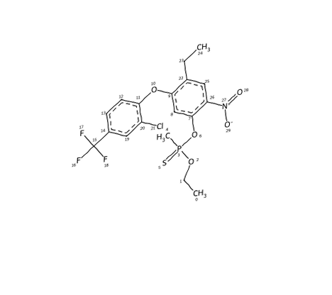 CCOP(C)(=S)Oc1cc(Oc2ccc(C(F)(F)F)cc2Cl)c(CC)cc1[N+](=O)[O-]